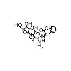 NC1c2ncn([C@@H]3O[C@H](CO)C(O)C3O)c2N=CN1N[C@@H](Cc1ccccc1)C(=O)O